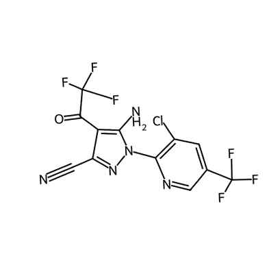 N#Cc1nn(-c2ncc(C(F)(F)F)cc2Cl)c(N)c1C(=O)C(F)(F)F